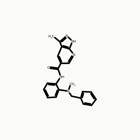 Cc1n[nH]c2ncc(C(=O)Nc3ccccc3N(C)Cc3ccccc3)cc12